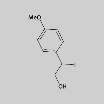 COc1ccc(C(I)CO)cc1